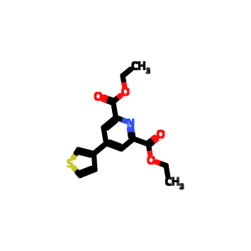 CCOC(=O)c1cc(-c2ccsc2)cc(C(=O)OCC)n1